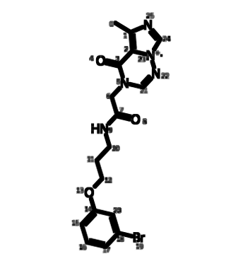 CC1=C2C(=O)N(CC(=O)NCCCOc3cccc(Br)c3)C=N[N+]2C=N1